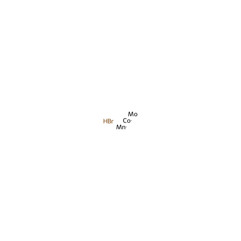 Br.[Co].[Mn].[Mo]